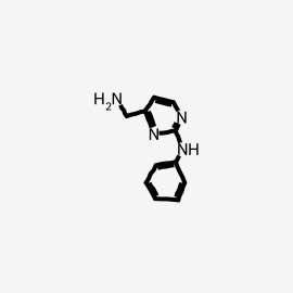 NCc1ccnc(Nc2ccccc2)n1